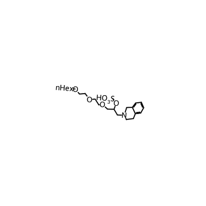 CCCCCCOCCOCCOCC(CN1CCc2ccccc2C1)OS(=O)(=O)O